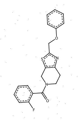 O=C(c1ccccc1F)N1CCc2nc(COc3ccccc3)sc2C1